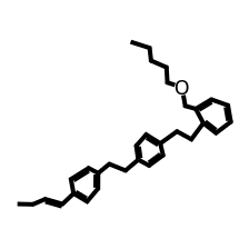 CCC=Cc1ccc(CCc2ccc(CCc3ccccc3COCCCCC)cc2)cc1